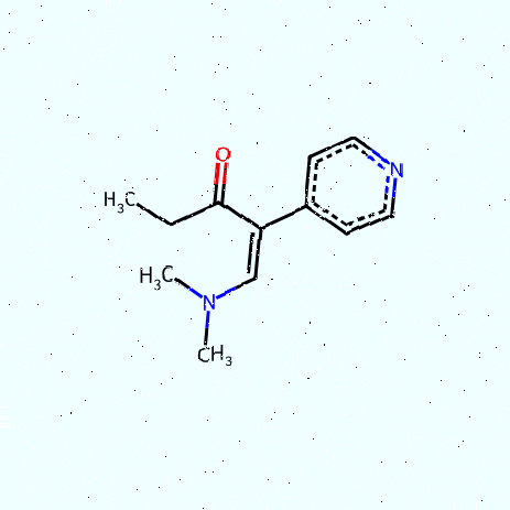 CCC(=O)/C(=C\N(C)C)c1ccncc1